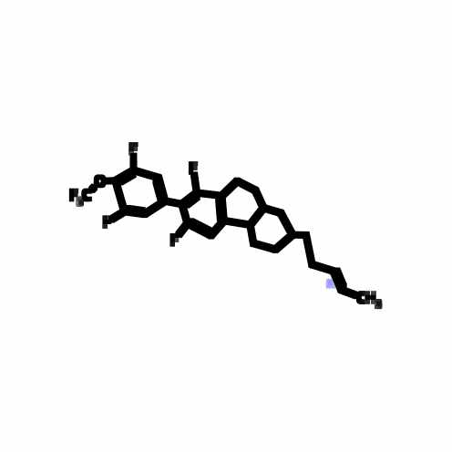 C/C=C/CCC1CCC2c3cc(F)c(-c4cc(F)c(OC(F)(F)F)c(F)c4)c(F)c3CCC2C1